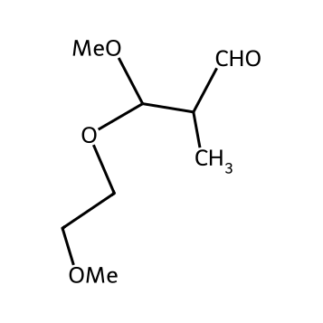 COCCOC(OC)C(C)C=O